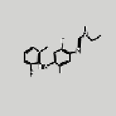 CCN(C)/C=N/c1cc(C)c(Nc2c(C)cccc2F)cc1F